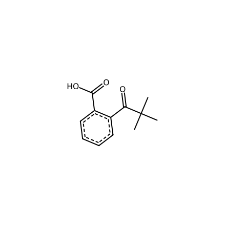 CC(C)(C)C(=O)c1ccccc1C(=O)O